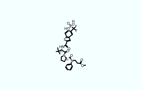 COC(=O)CCN(C(=O)[C@@H]1CCCN1C(=O)[C@@H](NC(=O)c1cc2cc(C(F)(F)P(=O)(O)O)ccc2s1)C(C)(C)C)c1ccccc1